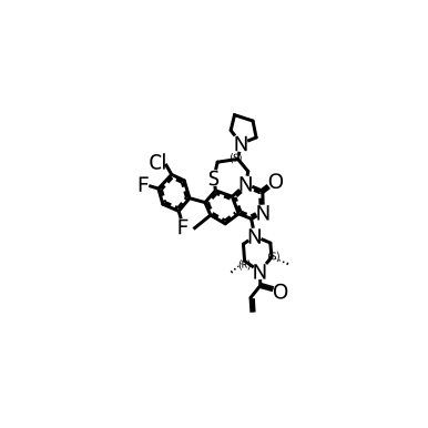 C=CC(=O)N1[C@H](C)CN(c2nc(=O)n3c4c(c(-c5cc(Cl)c(F)cc5F)c(C)cc24)SC[C@@H](N2CCCC2)C3)C[C@@H]1C